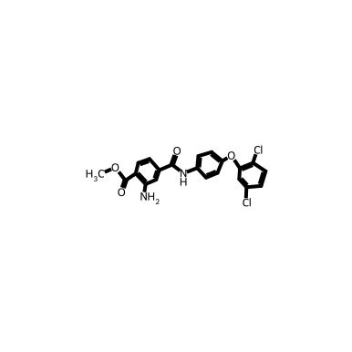 COC(=O)c1ccc(C(=O)Nc2ccc(Oc3cc(Cl)ccc3Cl)cc2)cc1N